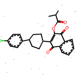 CC(C)C(=O)OC1=C(C2CCC(c3ccc(Cl)cc3)CC2)C(=O)c2ccccc2C1=O